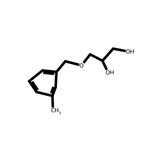 Cc1cccc(COCC(O)CO)c1